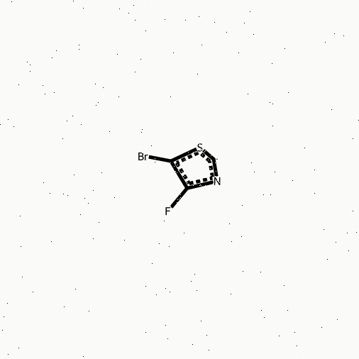 Fc1n[c]sc1Br